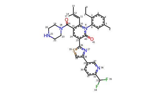 CCc1ccc(C)cc1-n1c(C=C(C)C)c(C(=O)N2CCNCC2)cc(-c2nc(-c3ccc(C(F)F)nc3)cs2)c1=O